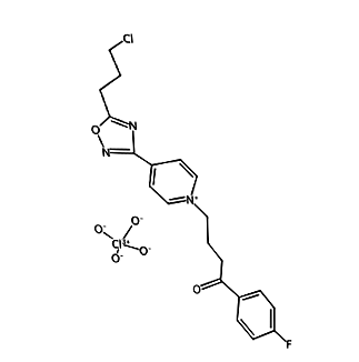 O=C(CCC[n+]1ccc(-c2noc(CCCCl)n2)cc1)c1ccc(F)cc1.[O-][Cl+3]([O-])([O-])[O-]